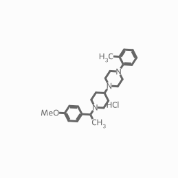 COc1ccc(C(C)N2CCC(N3CCN(c4ccccc4C)CC3)CC2)cc1.Cl